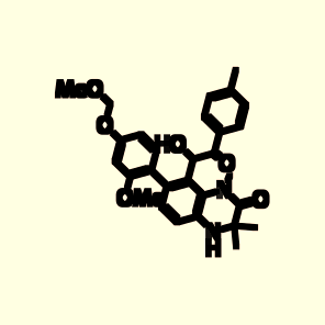 COCOc1ccc(-c2ccc3c(c2C(O)C(=O)c2ccc(C)cc2)N(C)C(=O)C(C)(C)N3)c(OC)c1